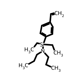 C=Cc1ccc([Si](CC)(CC)N(CCC)CCC)cc1